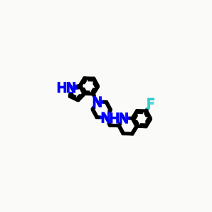 Fc1ccc2c(c1)NC(CN1CCN(c3cccc4[nH]ccc34)CC1)CC2